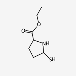 CCOC(=O)C1CCC(S)N1